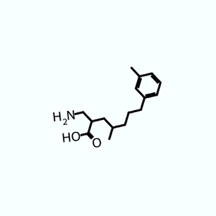 Cc1cccc(CCCC(C)CC(CN)C(=O)O)c1